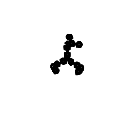 CC1(C)c2ccc(-c3ccc(N(c4ccc(-c5ccc6oc7ccccc7c6c5)cc4)c4ccc(-c5ccc6oc7ccccc7c6c5)cc4)cc3)cc2-c2cc(-c3ccccc3)cc(-c3ccccc3)c21